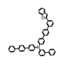 c1ccc(-c2ccc(-c3ccc(N(c4ccc(-c5ccc(-c6cccc(-c7cc8ccccc8o7)c6)cc5)cc4)c4cccc(-c5ccccc5)c4)cc3)cc2)cc1